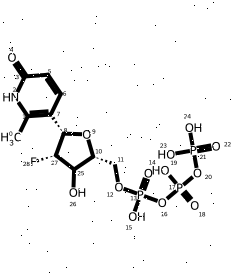 Cc1[nH]c(=O)ccc1[C@@H]1O[C@H](COP(=O)(O)OP(=O)(O)OP(=O)(O)O)C(O)[C@@H]1F